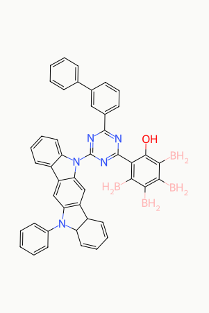 Bc1c(B)c(B)c(-c2nc(-c3cccc(-c4ccccc4)c3)nc(-n3c4ccccc4c4cc5c(cc43)C3C=CC=CC3N5c3ccccc3)n2)c(O)c1B